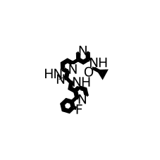 O=C(Nc1cncc(-c2ccc3[nH]nc(-c4cc5c(-c6ccccc6F)nccc5[nH]4)c3n2)c1)C1CC1